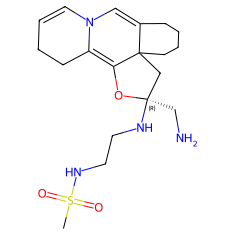 CS(=O)(=O)NCCN[C@]1(CN)CC23CCCCC2=CN2C=CCCC2=C3O1